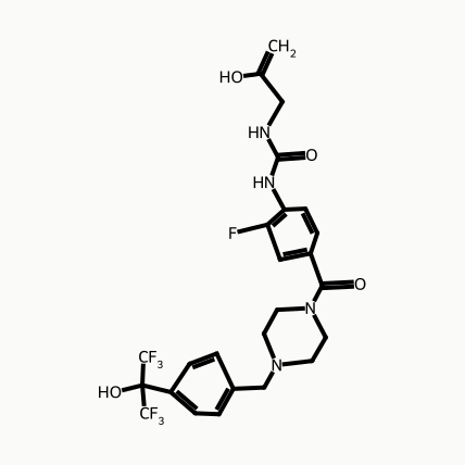 C=C(O)CNC(=O)Nc1ccc(C(=O)N2CCN(Cc3ccc(C(O)(C(F)(F)F)C(F)(F)F)cc3)CC2)cc1F